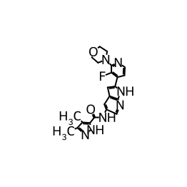 Cc1n[nH]c(C(=O)Nc2cnc3[nH]c(-c4ccnc(N5CCOCC5)c4F)cc3c2)c1C